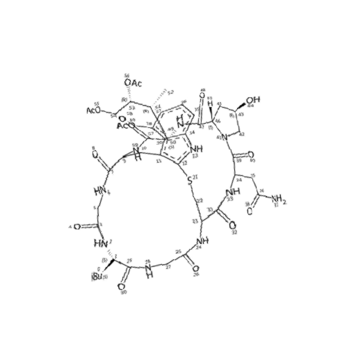 CC[C@H](C)[C@@H]1NC(=O)CNC(=O)C2Cc3c([nH]c4cccc(OC(C)=O)c34)SCC(NC(=O)CNC1=O)C(=O)NC(CC(N)=O)C(=O)N1C[C@H](O)C[C@H]1C(=O)N[C@@H]([C@@H](C)[C@H](COC(C)=O)OC(C)=O)C(=O)N2